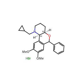 Br.COc1cc2c(cc1OC)[C@@H]1[C@@H](CCCN1CC1CC1)OC2c1ccccc1